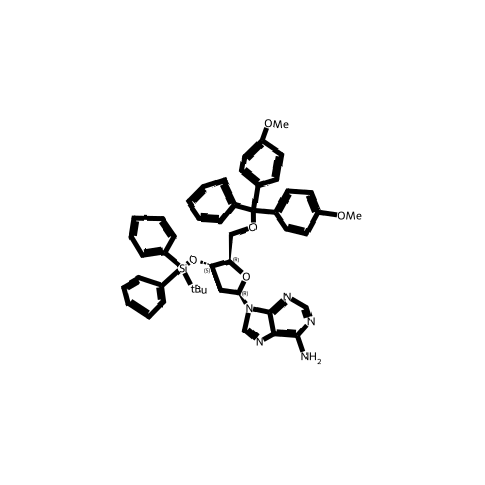 COc1ccc(C(OC[C@H]2O[C@@H](n3cnc4c(N)ncnc43)C[C@@H]2O[Si](c2ccccc2)(c2ccccc2)C(C)(C)C)(c2ccccc2)c2ccc(OC)cc2)cc1